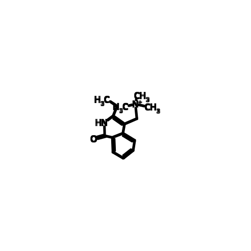 CCc1[nH]c(=O)c2ccccc2c1C[N+](C)(C)C